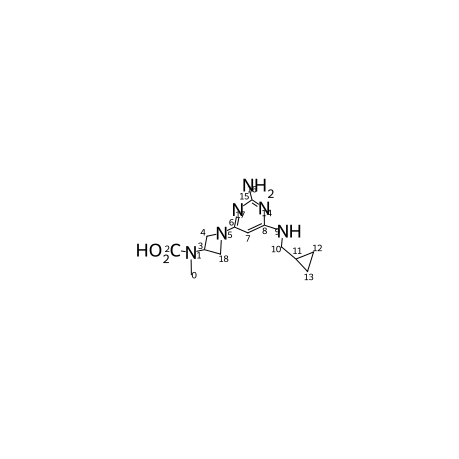 CN(C(=O)O)C1CN(c2cc(NCC3CC3)nc(N)n2)C1